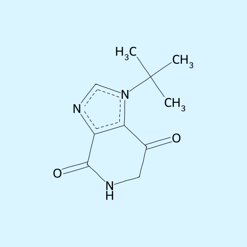 CC(C)(C)n1cnc2c1C(=O)CNC2=O